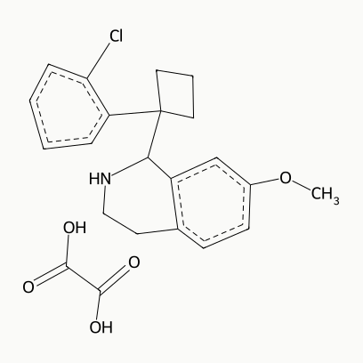 COc1ccc2c(c1)C(C1(c3ccccc3Cl)CCC1)NCC2.O=C(O)C(=O)O